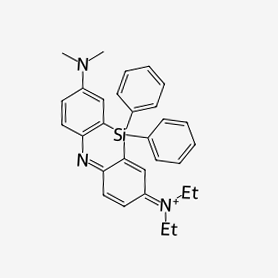 CC[N+](CC)=C1C=CC2=Nc3ccc(N(C)C)cc3[Si](c3ccccc3)(c3ccccc3)C2=C1